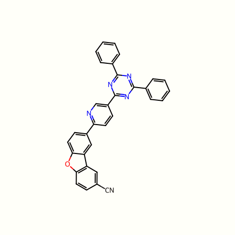 N#Cc1ccc2oc3ccc(-c4ccc(-c5nc(-c6ccccc6)nc(-c6ccccc6)n5)cn4)cc3c2c1